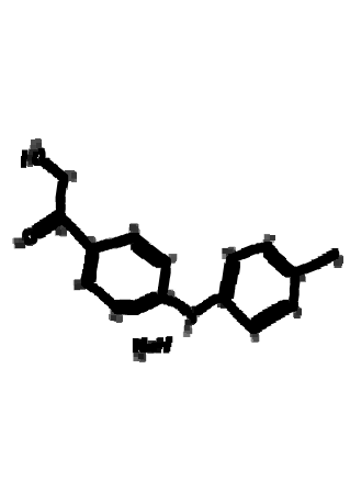 Cc1ccc(Sc2ccc(C(=O)CO)cc2)cc1.[NaH]